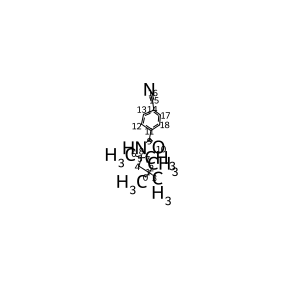 CC(C)(C)CC(C)(C)NC(=O)c1ccc(C#N)cc1